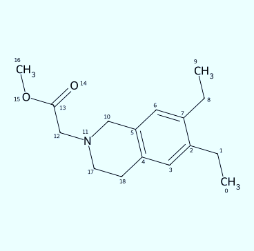 CCc1cc2c(cc1CC)CN(CC(=O)OC)CC2